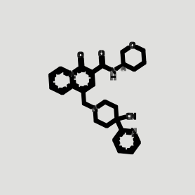 N#CC1(c2ccccn2)CCN(Cc2cc(C(=O)N[C@@H]3CCCOC3)c(=O)n3ccccc23)CC1